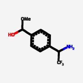 COC(O)c1ccc(C(N)C(F)(F)F)cc1